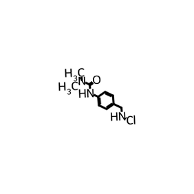 CN(C)C(=O)Nc1ccc(CNCl)cc1